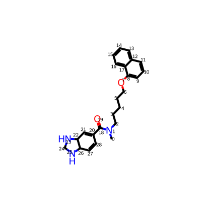 CN(CCCCCOc1cccc2ccccc12)C(=O)C1=CC2NCNC2C=C1